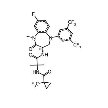 CN1C(=O)[C@H](NC(=O)C(C)(C)NC(=O)C2(C(F)(F)F)CC2)CN(c2cc(C(F)(F)F)cc(C(F)(F)F)c2)c2ccc(F)cc21